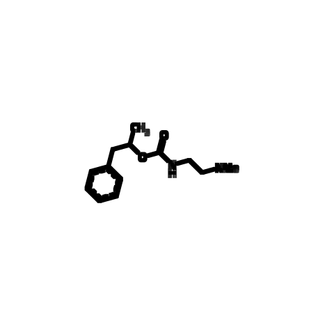 CNCCNC(=O)OC(C)Cc1ccccc1